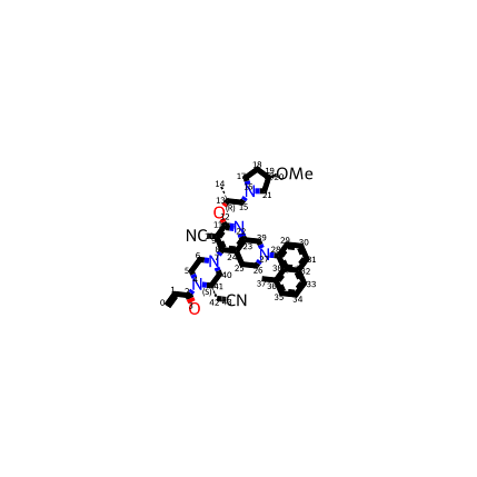 C=CC(=O)N1CCN(c2c(C#N)c(O[C@H](C)CN3CC[C@@H](OC)C3)nc3c2CCN(c2cccc4cccc(C)c24)C3)C[C@@H]1CC#N